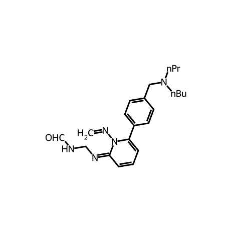 C=Nn1c(-c2ccc(CN(CCC)CCCC)cc2)ccc/c1=N/CNC=O